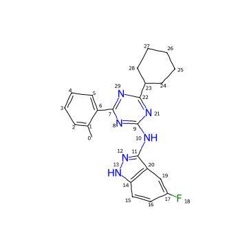 Cc1ccccc1-c1nc(Nc2n[nH]c3ccc(F)cc23)nc(C2CCCCC2)n1